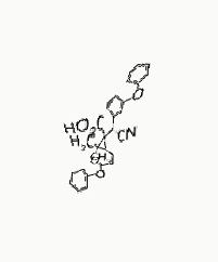 CC1(C)[C@H](/C=C\C(=O)Oc2ccccc2)[C@@]1(C(=O)O)[C@@H](C#N)c1cccc(Oc2ccccc2)c1